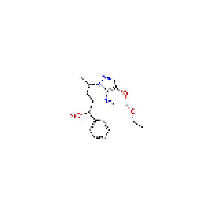 CCOCOc1cnn(C(C)CCC(O)c2ccccc2)c1N